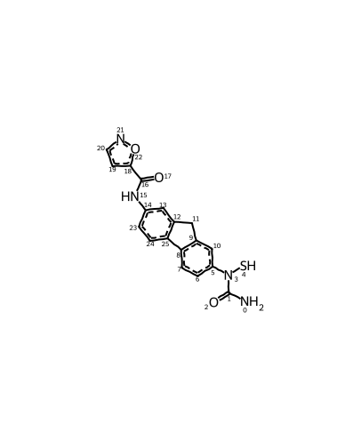 NC(=O)N(S)c1ccc2c(c1)Cc1cc(NC(=O)c3ccno3)ccc1-2